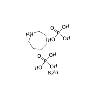 C1CCCNCC1.O=P(O)(O)O.O=P(O)(O)O.[NaH]